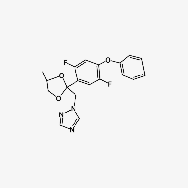 CC1COC(Cn2cncn2)(c2cc(F)c(Oc3ccccc3)cc2F)O1